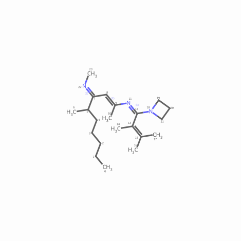 CCCCCC(C)C(/C=C(C)/N=C(\C(C)=C(C)C)N1CCC1)=N/C